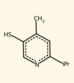 Cc1cc(C(C)C)ncc1S